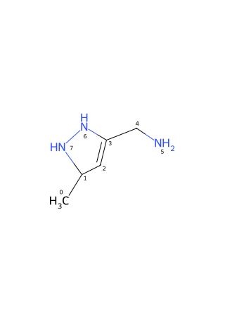 CC1C=C(CN)NN1